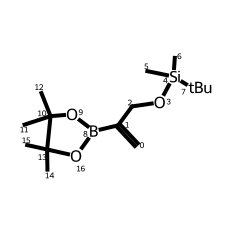 C=C(CO[Si](C)(C)C(C)(C)C)B1OC(C)(C)C(C)(C)O1